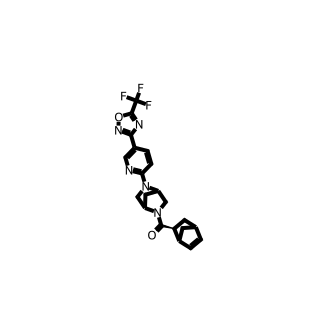 O=C([C@H]1CC2C=CC1C2)N1CC2CC1CN2c1ccc(-c2noc(C(F)(F)F)n2)cn1